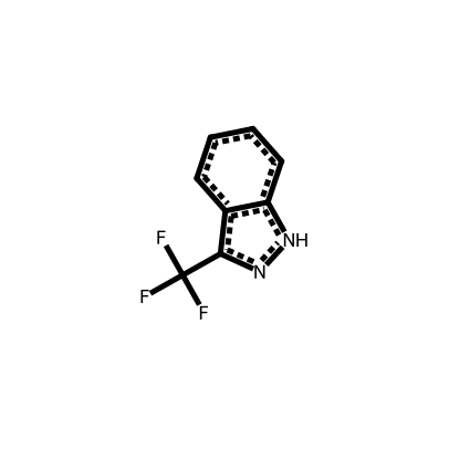 FC(F)(F)c1n[nH]c2ccccc12